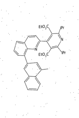 CCOC(=O)c1c(C(C)C)nc(C(C)C)c(C(=O)OCC)c1-c1ccc2cccc(-c3cc(C)c4ccccc4c3)c2n1